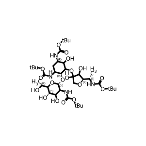 C[C@H](NC(=O)OC(C)(C)C)[C@H]1OCC(O)(OC2C(O)[C@H](NC(=O)OC(C)(C)C)CC(NC(=O)OC(C)(C)C)[C@H]2O[C@H]2OC([C@@H](C)O)[C@@H](O)C(O)C2NC(=O)OC(C)(C)C)C1O